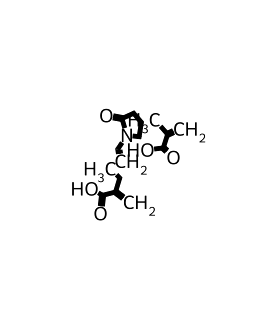 C=C(C)C(=O)O.C=C(CC)C(=O)O.C=CN1CCCC1=O